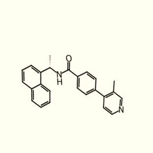 Cc1cnccc1-c1ccc(C(=O)N[C@@H](C)c2cccc3ccccc23)cc1